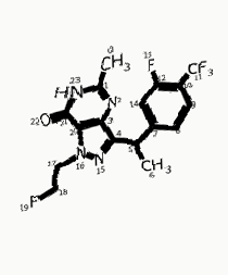 Cc1nc2c(C(C)c3ccc(C(F)(F)F)c(F)c3)nn(CCF)c2c(=O)[nH]1